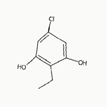 CCc1c(O)cc(Cl)cc1O